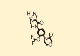 CN(C)[C@H](CN)C(=O)Nc1ccc(N2CCOCC2=O)c(OC(F)F)c1